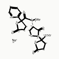 CSN(C(=O)C1(c2ccccn2)CCC(=O)O1)[C@H]1CON(C2(C(=O)[O-])CCC(=O)O2)C1=O.[Na+]